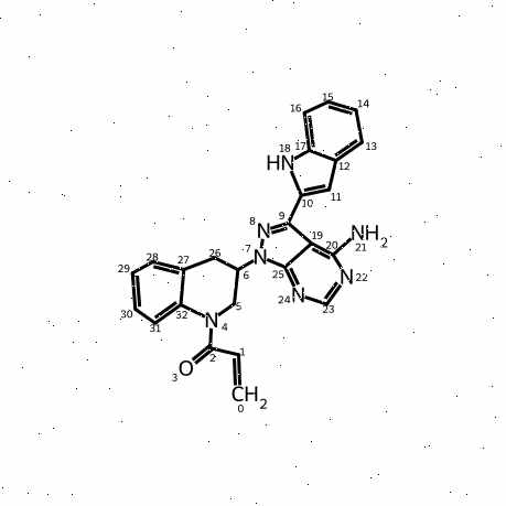 C=CC(=O)N1CC(n2nc(-c3cc4ccccc4[nH]3)c3c(N)ncnc32)Cc2ccccc21